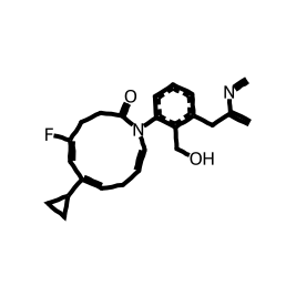 C=NC(=C)Cc1cccc(N2/C=C\C/C=C(C3CC3)\C=C(\F)CCC2=O)c1CO